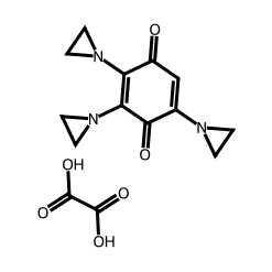 O=C(O)C(=O)O.O=C1C=C(N2CC2)C(=O)C(N2CC2)=C1N1CC1